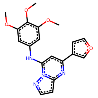 COc1cc(Nc2cc(-c3ccoc3)nc3ccnn23)cc(OC)c1OC